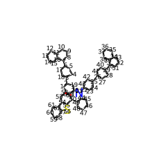 c1cc(-c2ccc(-c3cccc4ccccc34)cc2)cc(N(c2ccc(-c3ccc(-c4cccc5ccccc45)cc3)cc2)c2ccccc2-c2cccc3c2sc2ccccc23)c1